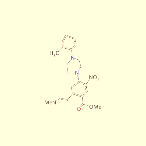 CN/C=C/c1cc(N2CCN(c3ccccc3C)CC2)c([N+](=O)[O-])cc1C(=O)OC